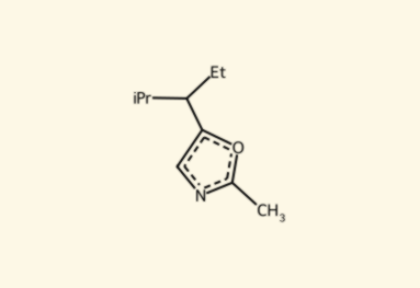 CCC(c1cnc(C)o1)C(C)C